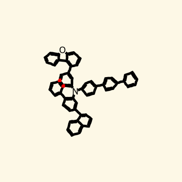 c1ccc(-c2ccc(-c3ccc(N(c4cccc(-c5cccc6oc7ccccc7c56)c4)c4cc(-c5cccc6ccccc56)ccc4-c4ccccc4)cc3)cc2)cc1